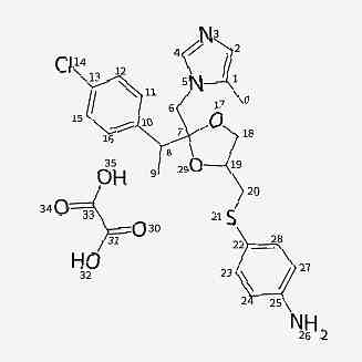 Cc1cncn1CC1(C(C)c2ccc(Cl)cc2)OCC(CSc2ccc(N)cc2)O1.O=C(O)C(=O)O